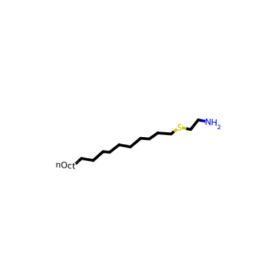 CCCCCCCCCCCCCCCCCCSCCN